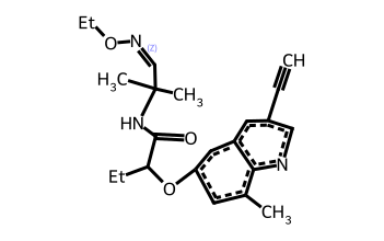 C#Cc1cnc2c(C)cc(OC(CC)C(=O)NC(C)(C)/C=N\OCC)cc2c1